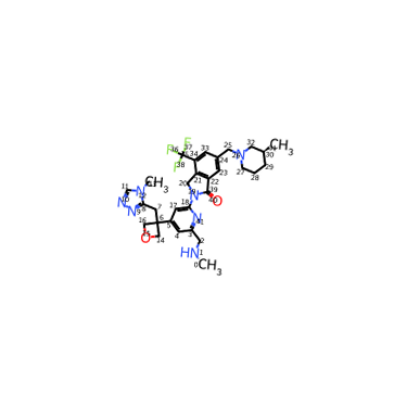 CNCc1cc(C2(Cc3nncn3C)COC2)cc(N2Cc3c(cc(CN4CCC[C@H](C)C4)cc3C(F)(F)F)C2=O)n1